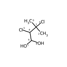 CC(C)(Cl)C(Cl)C(O)O